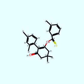 Cc1cccc(C(=S)OC2=C(c3ccc(C)cc3C)C(=O)CC(C)(C)C2)c1